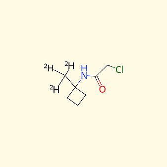 [2H]C([2H])([2H])C1(NC(=O)CCl)CCC1